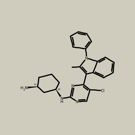 Cc1c(-c2nc(N[C@@H]3CCC[C@H](N)C3)ncc2Cl)c2ccccc2n1-c1ccccc1